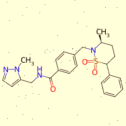 C[C@H]1CCC(c2ccccc2)S(=O)(=O)N1Cc1ccc(C(=O)NCc2ccnn2C)cc1